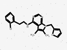 Cc1c(C)n(Cc2ccco2)c2ncnc(NCCc3ccccc3Cl)c12